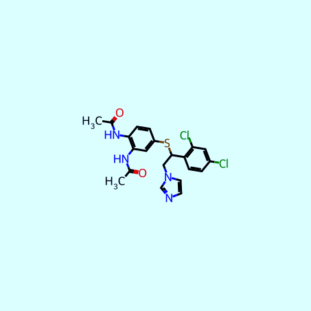 CC(=O)Nc1ccc(SC(Cn2ccnc2)c2ccc(Cl)cc2Cl)cc1NC(C)=O